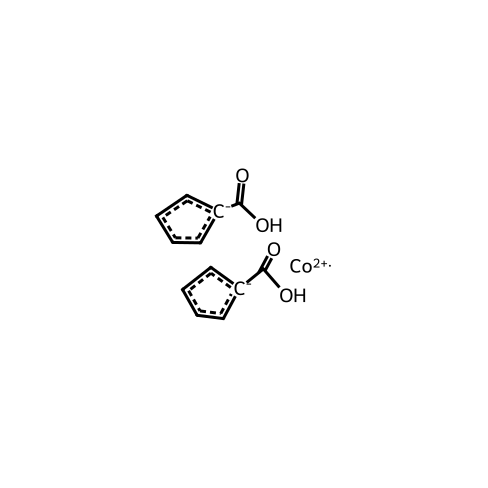 O=C(O)[c-]1cccc1.O=C(O)[c-]1cccc1.[Co+2]